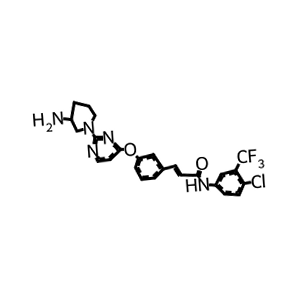 NC1CCCN(c2nccc(Oc3cccc(C=CC(=O)Nc4ccc(Cl)c(C(F)(F)F)c4)c3)n2)C1